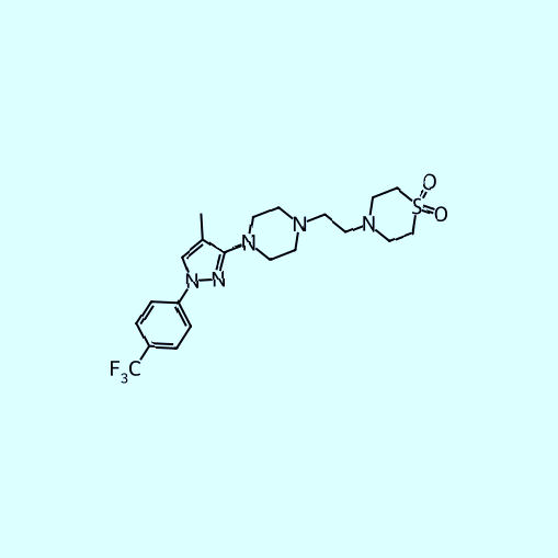 Cc1cn(-c2ccc(C(F)(F)F)cc2)nc1N1CCN(CCN2CCS(=O)(=O)CC2)CC1